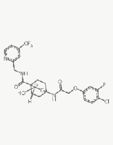 O=C(COc1ccc(Cl)c(F)c1)NC12CCC(C(=O)NCc3cc(C(F)(F)F)ccn3)(CC1)[C@@H](O)C2